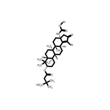 CC(C)OC(=O)N[C@@]12CC[C@]3(C)[C@H](CC[C@@H]4[C@@]5(C)CC[C@H](OC(=O)CC(C)(C)C(=O)O)C(C)(C)[C@@H]5CC[C@]43C)C1=C(C(C)C)C(=O)C2